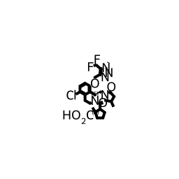 CC1CC(=O)N(C[C@@H]2c3c(OCc4nnn(C)c4C(F)F)ccc(Cl)c3CCN2C(=O)C2CCC[C@@]2(C)C(=O)O)C1